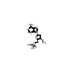 COC1C[C@H](n2cnc3c(N)ncnc32)O[C@@H]1COP(=O)(O)S